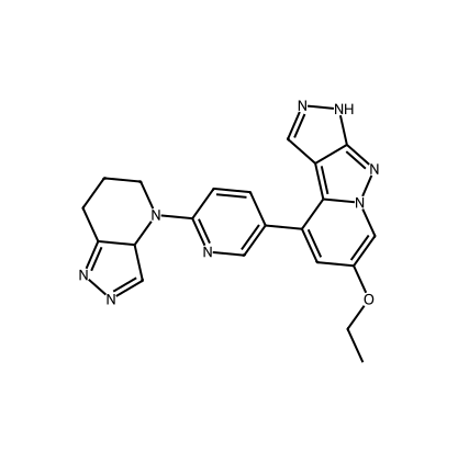 CCOc1cc(-c2ccc(N3CCCC4=NN=CC43)nc2)c2c3cn[nH]c3nn2c1